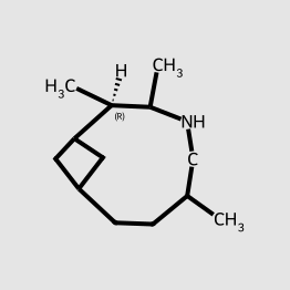 CC1CCC2CC(C2)[C@@H](C)C(C)NC1